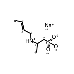 C/C=C/CNC(C)CS(=O)(=O)[O-].[Na+]